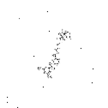 CC1CN(S(=O)(=O)c2cccc(NCCCCCNS(=O)(=O)C(C)(C)C)c2)CC(C)O1